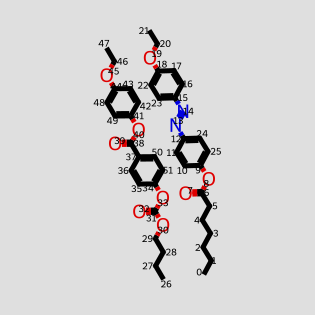 CCCCCCC(=O)Oc1ccc(N=Nc2ccc(OCC)cc2)cc1.CCCCOC(=O)Oc1ccc(C(=O)Oc2ccc(OCC)cc2)cc1